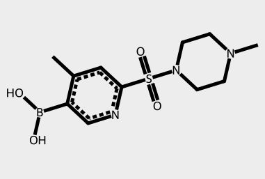 Cc1cc(S(=O)(=O)N2CCN(C)CC2)ncc1B(O)O